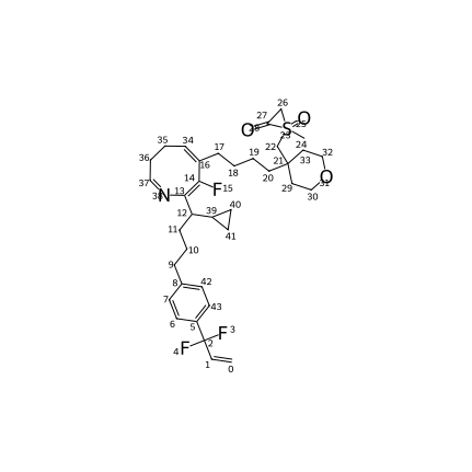 C=CC(F)(F)c1ccc(CCCC(C2=C(F)/C(CCCCC3(CS4(C)(=O)CC4=O)CCOCC3)=C\CC/C=N\2)C2CC2)cc1